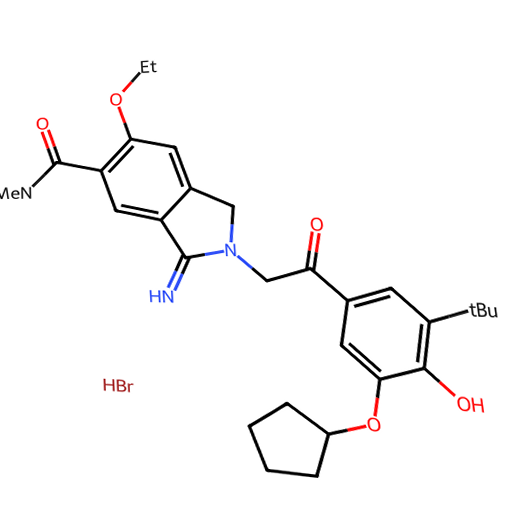 Br.CCOc1cc2c(cc1C(=O)NC)C(=N)N(CC(=O)c1cc(OC3CCCC3)c(O)c(C(C)(C)C)c1)C2